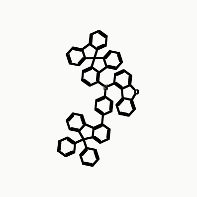 c1ccc(C2(c3ccccc3)c3ccccc3-c3c(-c4ccc(N(c5cccc6c5-c5ccccc5C65c6ccccc6-c6ccccc65)c5cccc6oc7ccccc7c56)cc4)cccc32)cc1